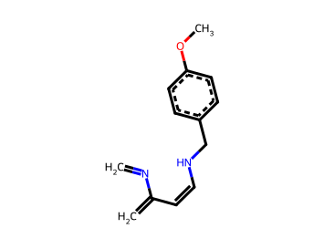 C=NC(=C)/C=C\NCc1ccc(OC)cc1